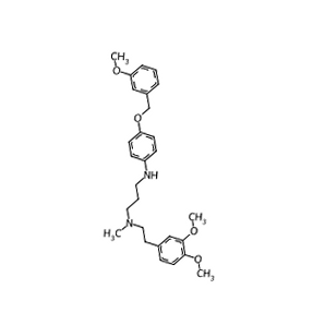 COc1cccc(COc2ccc(NCCCN(C)CCc3ccc(OC)c(OC)c3)cc2)c1